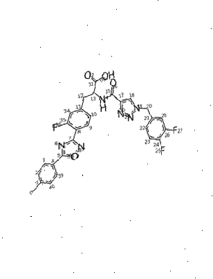 Cc1ccc(-c2nc(-c3ccc(CC(NC(=O)c4cn(Cc5ccc(F)c(F)c5)nn4)C(=O)O)cc3F)no2)cc1